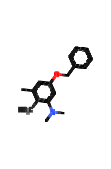 Cc1cc(OCc2ccccc2)cc(N(C)C)c1C(=O)O